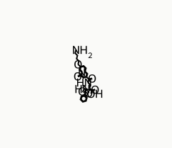 NCCCCOc1ccc2cc(C(=O)NCC(NS(=O)(=O)c3ccccc3)C(=O)O)cc(=O)n2c1